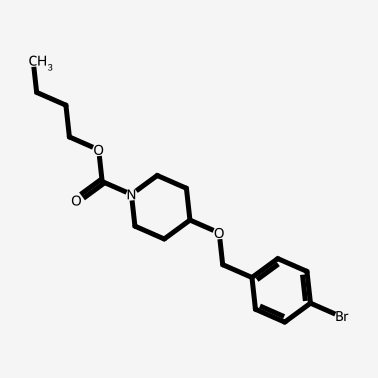 CCCCOC(=O)N1CCC(OCc2ccc(Br)cc2)CC1